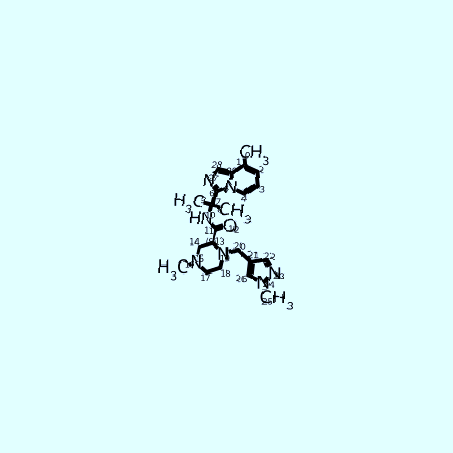 Cc1cccn2c(C(C)(C)NC(=O)[C@@H]3CN(C)CCN3Cc3cnn(C)c3)ncc12